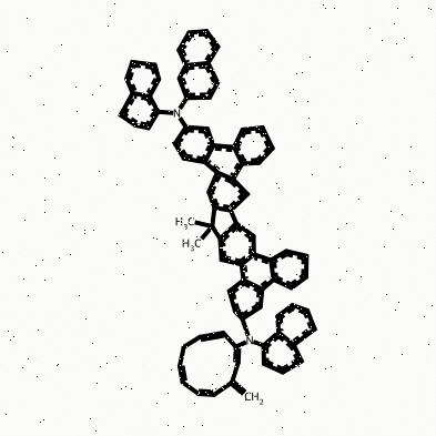 C=C1/C=C\C=C/C/C=C\C(N(c2ccc3c(c2)c2ccccc2c2cc4c(cc32)C(C)(C)c2cc3c5ccc(N(c6ccc7ccccc7c6)c6cccc7ccccc67)cc5c5ccccc5c3cc2-4)c2cccc3ccccc23)=C/1